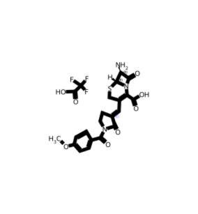 COc1ccc(C(=O)N2CC/C(=C\C3=C(C(=O)O)N4C(=O)[C@@H](N)[C@H]4SC3)C2=O)cc1.O=C(O)C(F)(F)F